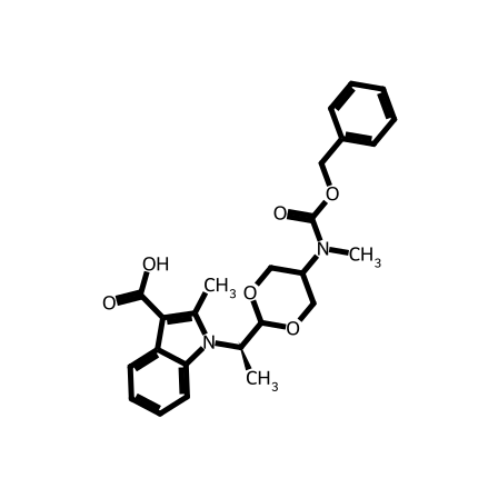 Cc1c(C(=O)O)c2ccccc2n1[C@H](C)C1OCC(N(C)C(=O)OCc2ccccc2)CO1